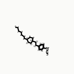 CCCCCCCC1CCC(CCc2ccc(N=C=S)cc2)CC1